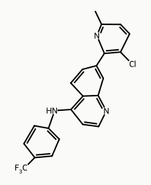 Cc1ccc(Cl)c(-c2ccc3c(Nc4ccc(C(F)(F)F)cc4)ccnc3c2)n1